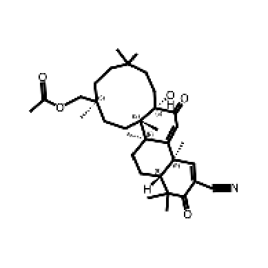 CC(=O)OC[C@@]1(C)CCC(C)(C)CC[C@@]2(O)C(=O)C=C3[C@@]4(C)C=C(C#N)C(=O)C(C)(C)[C@@H]4CC[C@@]3(C)[C@]2(C)CC1